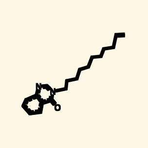 C=CCCCCCCCCCn1cnc2ccccc2c1=O